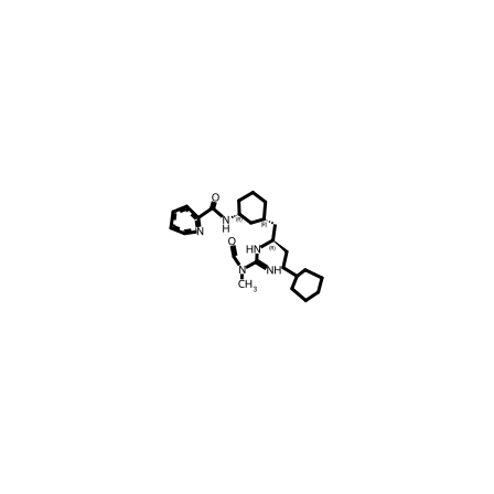 CN(C=O)C(=N)N[C@H](CCC1CCCCC1)C[C@H]1CCC[C@@H](NC(=O)c2ccccn2)C1